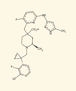 Cc1cc(Nc2ccc(F)c(CC3(C(=O)O)CCN(CC4(c5cccc(Cl)c5F)CC4)[C@H](C)C3)n2)n[nH]1